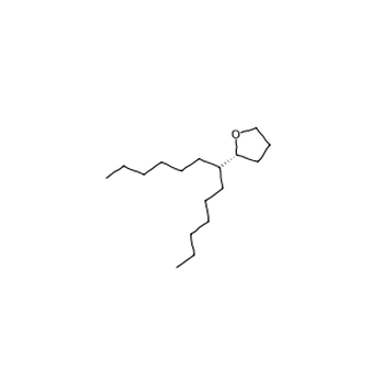 CCCCCCC(CCCCCC)[C@H]1CCCO1